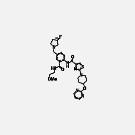 COCCNC(=O)c1cc(CN2CC[C@@H](F)C2)ccc1NC(=O)c1csc(N2CCC(Oc3ncccn3)CC2)n1